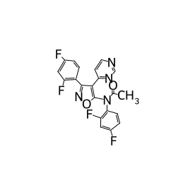 CC(=O)N(c1ccc(F)cc1F)c1onc(-c2ccc(F)cc2F)c1-c1ccncn1